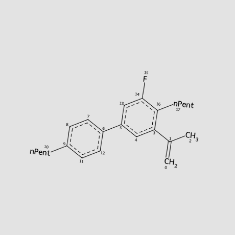 C=C(C)c1cc(-c2ccc(CCCCC)cc2)cc(F)c1CCCCC